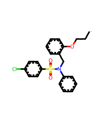 [CH2]CCOc1ccccc1CN(c1ccccc1)S(=O)(=O)c1ccc(Cl)cc1